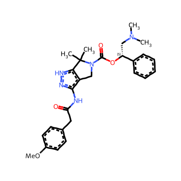 COc1ccc(CC(=O)Nc2n[nH]c3c2CN(C(=O)O[C@H](CN(C)C)c2ccccc2)C3(C)C)cc1